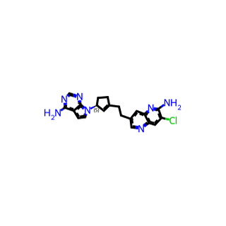 Nc1nc2cc(CCC3=C[C@@H](n4ccc5c(N)ncnc54)CC3)cnc2cc1Cl